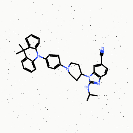 CC(C)Nc1nc2ccc(C#N)cc2n1C1CCN(c2ccc(N3c4ccccc4C(C)(C)c4ccccc43)cc2)CC1